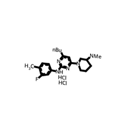 CCCCc1cc(N2CCCC(NC)C2)nc(Nc2ccc(C)c(F)c2)n1.Cl.Cl